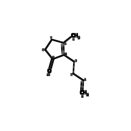 C=CCCC1=C(C)CCC1=O